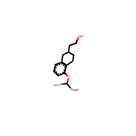 COC(Oc1cccc2c1CCC(CCO)C2)C(=O)O